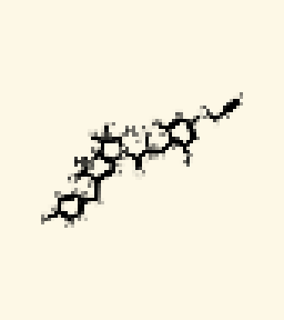 C#CCOc1cc(F)c(C[C@H](N)C(=O)N2CC(C)(C)c3[nH]c(=O)c(Cc4ccc(F)cc4)cc32)c(F)c1